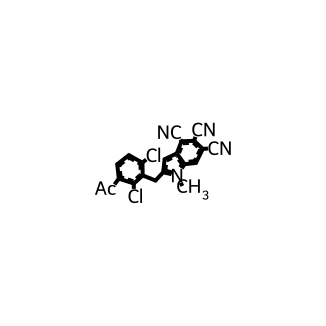 CC(=O)c1ccc(Cl)c(Cc2cc3c(C#N)c(C#N)c(C#N)cc3n2C)c1Cl